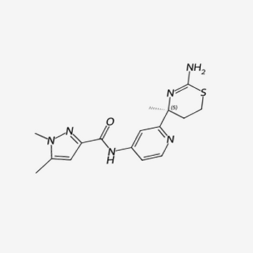 Cc1cc(C(=O)Nc2ccnc([C@]3(C)CCSC(N)=N3)c2)nn1C